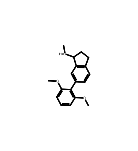 COc1cccc(OC)c1-c1ccc2c(c1)C([AsH]C)CC2